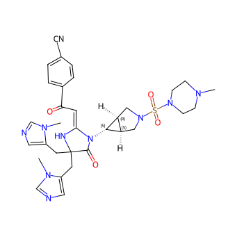 CN1CCN(S(=O)(=O)N2C[C@@H]3[C@H](C2)[C@H]3N2C(=O)C(Cc3cncn3C)(Cc3cncn3C)NC2=CC(=O)c2ccc(C#N)cc2)CC1